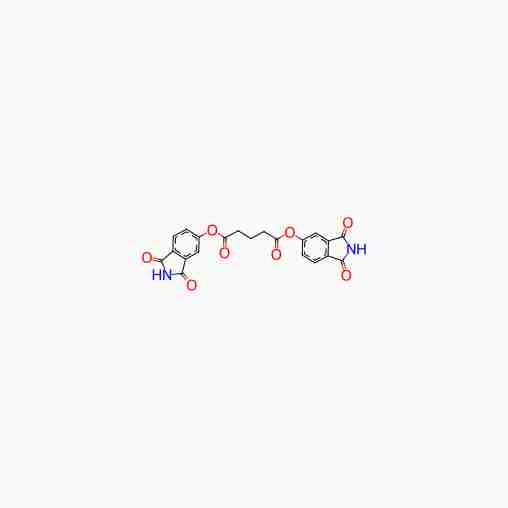 O=C(CCCC(=O)Oc1ccc2c(c1)C(=O)NC2=O)Oc1ccc2c(c1)C(=O)NC2=O